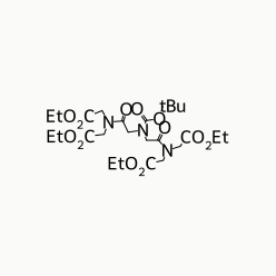 CCOC(=O)CN(CC(=O)OCC)C(=O)CN(CC(=O)N(CC(=O)OCC)CC(=O)OCC)C(=O)OC(C)(C)C